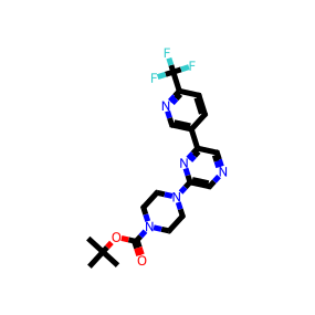 CC(C)(C)OC(=O)N1CCN(c2cncc(-c3ccc(C(F)(F)F)nc3)n2)CC1